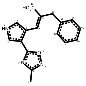 Cc1noc(-c2c[nH]cc2C=C(Cc2ccccc2)C(=O)O)n1